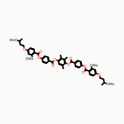 COc1cc(OCCC(C)OC)ccc1C(=O)Oc1ccc(C(=O)Oc2cc(C)c(OC(=O)c3ccc(OC(=O)c4ccc(OCCC(C)OC)cc4OC)cc3)c(C)c2C)cc1